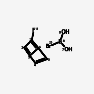 Fc1cc2ccc1-2.OB(O)Br